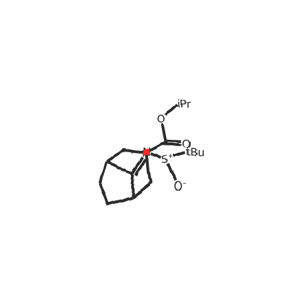 CC(C)OC(=O)C1CC2CCC(C1)C2=N[S+]([O-])C(C)(C)C